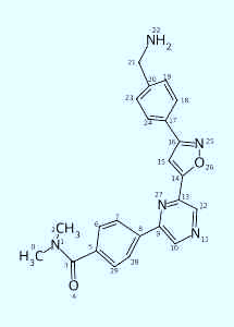 CN(C)C(=O)c1ccc(-c2cn[c]c(-c3cc(-c4ccc(CN)cc4)no3)n2)cc1